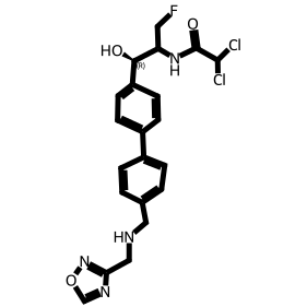 O=C(NC(CF)[C@H](O)c1ccc(-c2ccc(CNCc3ncon3)cc2)cc1)C(Cl)Cl